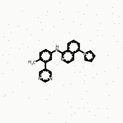 Cc1ccc(Nc2nccc3c(-n4cccc4)cccc23)cc1-c1cncnc1